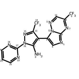 Nc1c(-c2cnc3nc(C(F)(F)F)cnn23)c(C(F)(F)F)nn1-c1ncccn1